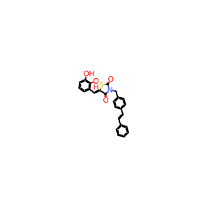 O=C1SC(=Cc2cccc(O)c2O)C(=O)N1Cc1ccc(C=Cc2ccccc2)cc1